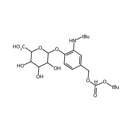 CC(C)(C)Nc1cc(CO[PH](=O)OC(C)(C)C)ccc1OC1OC(C(=O)O)C(O)C(O)C1O